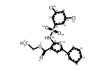 CCOC(=O)c1cc(-c2ccccc2)sc1NS(=O)(=O)c1cc(Cl)cc(Cl)c1